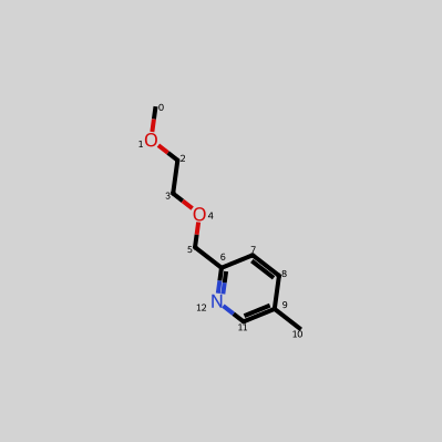 COCCOCc1ccc(C)cn1